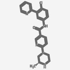 C[C@@H]1CN(c2ccc(C(=O)Nc3ccc(Cl)c(-c4ccccn4)c3)cn2)CCN1